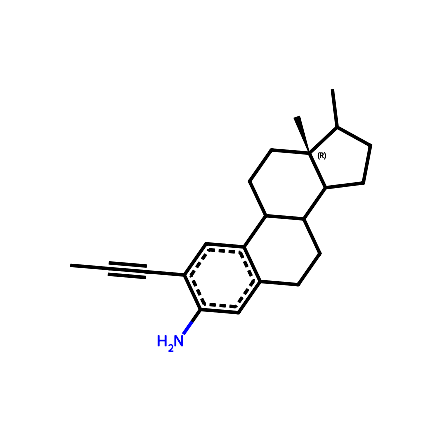 CC#Cc1cc2c(cc1N)CCC1C2CC[C@]2(C)C(C)CCC12